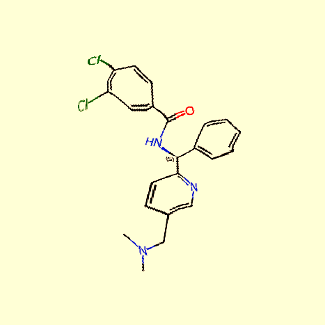 CN(C)Cc1ccc([C@@H](NC(=O)c2ccc(Cl)c(Cl)c2)c2ccccc2)nc1